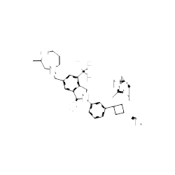 CC1CN(Cc2cc3c(c(C(F)(F)F)c2)CN(c2cccc([C@]4(Cc5nncn5C)C[C@@H](C#N)C4)c2)C3=O)CCCO1